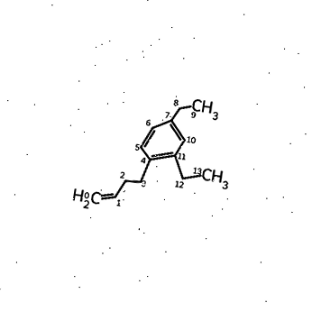 C=CCCc1ccc(CC)cc1CC